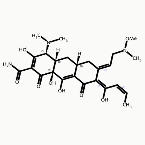 C\C=C/C(O)=C1/C(=O)C2=C(O)[C@]3(O)C(=O)C(C(N)=O)=C(O)[C@@H](N(C)C)[C@@H]3C[C@@H]2C/C1=C\CN(C)OC